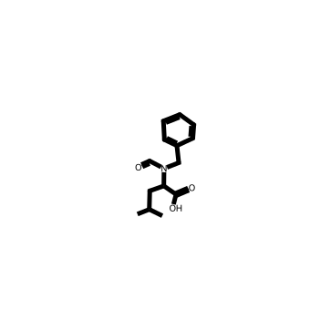 CC(C)CC(C(=O)O)N(C=O)Cc1ccccc1